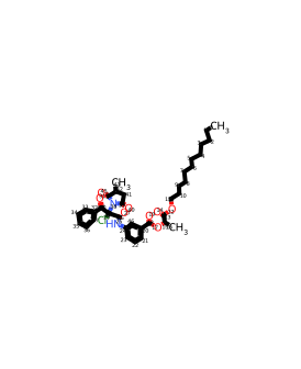 CCCCCCCCCCCCOC(=O)C(C)OC(=O)c1cccc(NC(=O)C(Cl)(C(=O)c2ccccc2)N2C(=O)CC(C)C2=O)c1